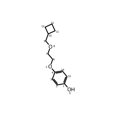 Oc1ccc(OCCOCC2CCC2)cc1